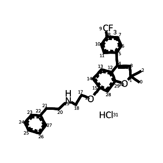 CC1(C)C=C(c2ccc(C(F)(F)F)cc2)c2ccc(OCCNCCc3ccccc3)cc2O1.Cl